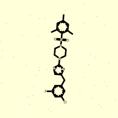 Cc1cc(C)c(S(=O)(=O)N2CCN(c3nc(Cc4cc(F)cc(Cl)c4)cs3)CC2)c(C)c1